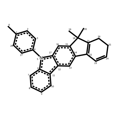 Cc1ccc(-n2c3ccccc3c3cc4c(cc32)C(C)(C)C2=C4C=CCC2)cc1